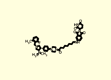 Cc1cccc(F)c1CN1C[C@H](c2ccc(N3CCN(C(=O)CCCCCCCNc4ccc5c(c4)C(=O)N(C4CCC(=O)NC4=O)C5=O)CC3)cc2)[C@@H](N(C)C)C1